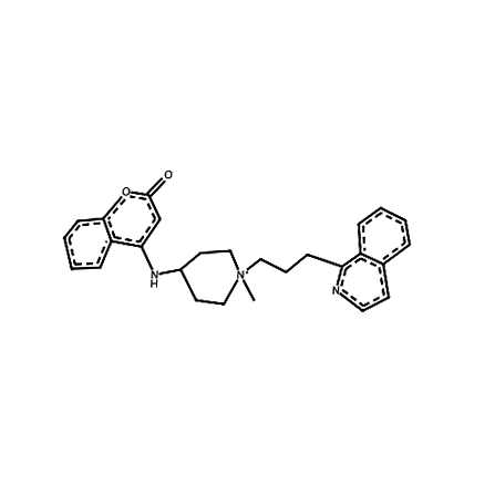 C[N+]1(CCCc2nccc3ccccc23)CCC(Nc2cc(=O)oc3ccccc23)CC1